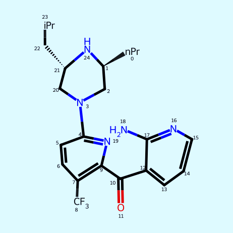 CCC[C@H]1CN(c2ccc(C(F)(F)F)c(C(=O)c3cccnc3N)n2)C[C@H](CC(C)C)N1